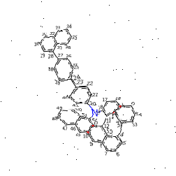 c1ccc(-c2cccc3cccc(-c4ccccc4N(c4ccc(-c5ccc(-c6cccc7ccccc67)cc5)cc4)c4cccc5ccccc45)c23)cc1